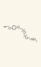 C#CCOc1ccc(OCCC(C)(C)OCC(C)(C)OCCN)cc1